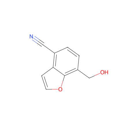 N#Cc1ccc(CO)c2occc12